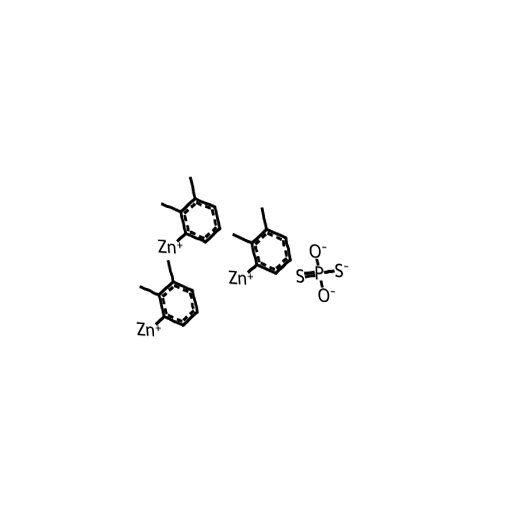 Cc1ccc[c]([Zn+])c1C.Cc1ccc[c]([Zn+])c1C.Cc1ccc[c]([Zn+])c1C.[O-]P([O-])(=S)[S-]